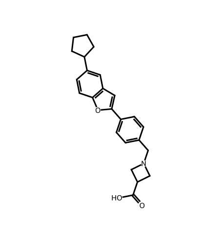 O=C(O)C1CN(Cc2ccc(-c3cc4cc(C5CCCC5)ccc4o3)cc2)C1